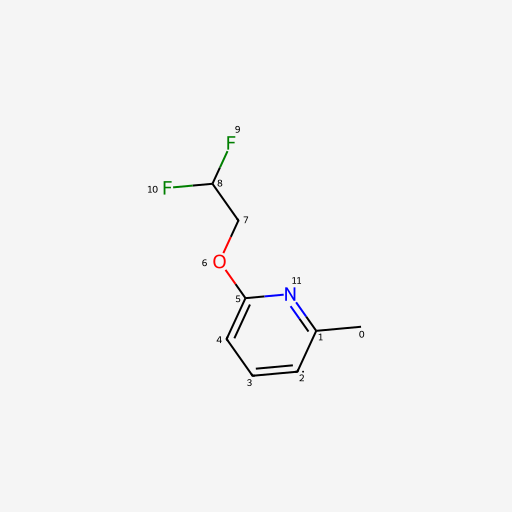 Cc1[c]ccc(OCC(F)F)n1